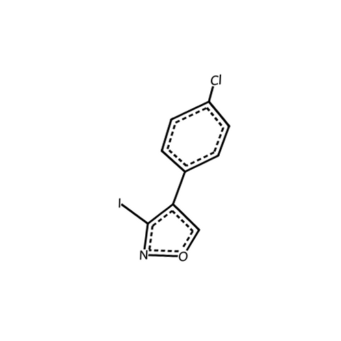 Clc1ccc(-c2conc2I)cc1